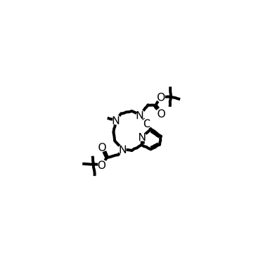 CN1CCN(CC(=O)OC(C)(C)C)Cc2cccc(n2)CN(CC(=O)OC(C)(C)C)CC1